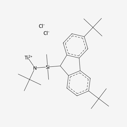 CC(C)(C)c1ccc2c(c1)-c1cc(C(C)(C)C)ccc1C2[Si](C)(C)[N]([Ti+2])C(C)(C)C.[Cl-].[Cl-]